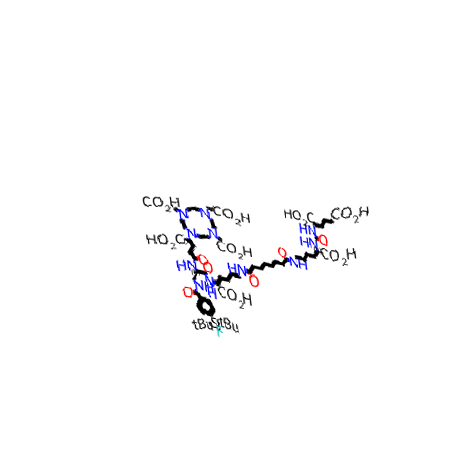 CC(C)(C)[Si](F)(c1ccc(C(=O)NC[C@@H](NC(=O)CC[C@@H](C(=O)O)N2CCN(CC(=O)O)CCN(CC(=O)O)CCN(CC(=O)O)CC2)C(=O)N[C@H](CCCCNC(=O)CCCCCCC(=O)NCCCC[C@H](NC(=O)N[C@@H](CCCC(=O)O)C(=O)O)C(=O)O)C(=O)O)cc1)C(C)(C)C